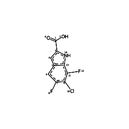 O=C(O)c1cc2cc(F)c(Cl)c(F)c2[nH]1